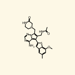 COc1cc(C)cc2cc(-c3c(CNC(C)=O)c(CN4CCNC(=O)C4)n4ncnc(N)c34)sc12